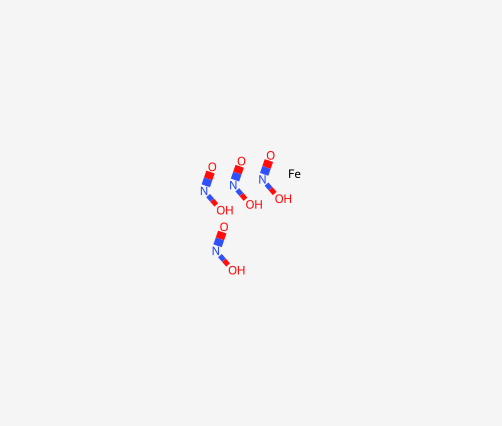 O=NO.O=NO.O=NO.O=NO.[Fe]